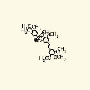 COc1cc(C=Cc2cc(OC)c(OC)c(OC)c2)cc(NS(=O)(=O)c2ccc(C(C)(C)C)cc2)c1OC